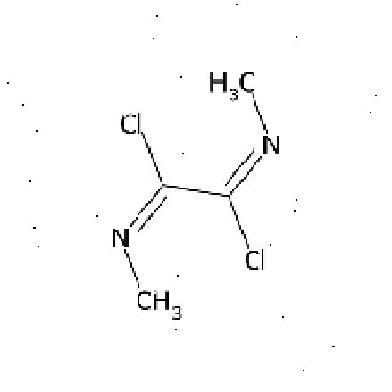 C/N=C(Cl)\C(Cl)=N/C